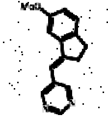 COc1ccc2c(c1)/C(=C/c1cncnc1)CC2